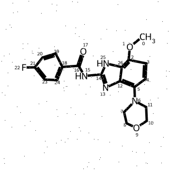 COc1ccc(N2CCOCC2)c2nc(NC(=O)c3ccc(F)cc3)[nH]c12